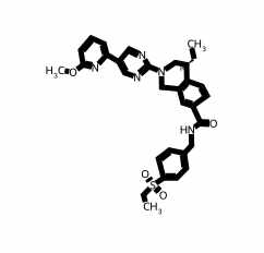 CC[C@H]1CN(c2ncc(-c3cccc(OC)n3)cn2)Cc2cc(C(=O)NCc3ccc(S(=O)(=O)CC)cc3)ccc21